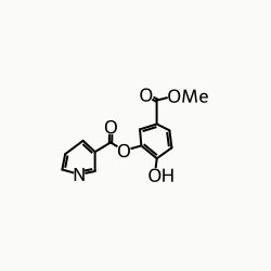 COC(=O)c1ccc(O)c(OC(=O)c2cccnc2)c1